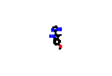 COc1ccc2[nH]c(-c3ncc[nH]3)c(C)c2c1